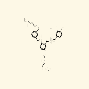 CCN(CC)CCN(C)Cc1cccc(C(=O)Nc2ccc(OCCOCCOC)cc2C(=O)NN=Cc2ccc(Cl)c(C(F)(F)F)c2)c1